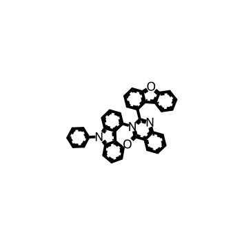 O=c1c2ccccc2nc(-c2cccc3oc4ccccc4c23)n1-c1cccc2c1c1ccccc1n2-c1ccccc1